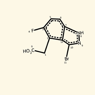 O=C(O)Cc1c(F)ccc2[nH]nc(Br)c12